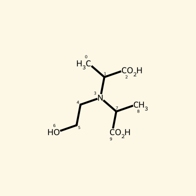 CC(C(=O)O)N(CCO)C(C)C(=O)O